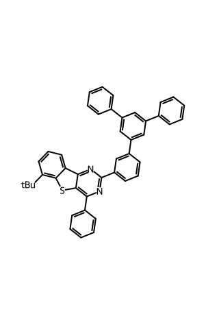 CC(C)(C)c1cccc2c1sc1c(-c3ccccc3)nc(-c3cccc(-c4cc(-c5ccccc5)cc(-c5ccccc5)c4)c3)nc12